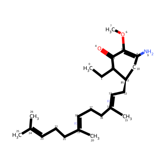 CCC1C(=O)C(OC)=C(N)C[C@H]1C/C=C(\C)CC/C=C(\C)CCC=C(C)C